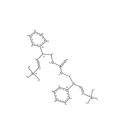 C[Si](C)(C)C=CC(COC(=O)OCC(C=C[Si](C)(C)C)c1ccccc1)c1ccccc1